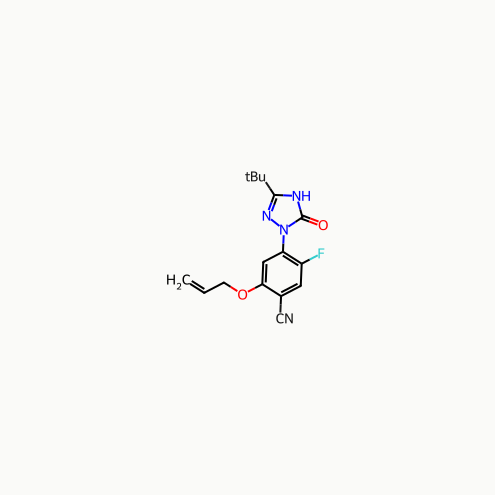 C=CCOc1cc(-n2nc(C(C)(C)C)[nH]c2=O)c(F)cc1C#N